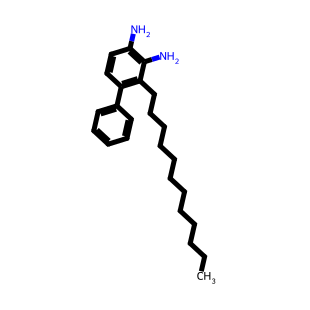 CCCCCCCCCCCCc1c(-c2ccccc2)ccc(N)c1N